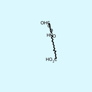 O=[C]COCCOCCNC(=O)CCCCCCCCCCCCCCC(=O)O